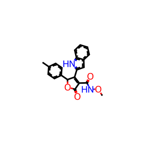 CONC(=O)C1=C(c2cc3ccccc3[nH]2)C(c2ccc(C)cc2)OC1=O